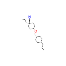 CCC[C@H]1CC[C@H](CO[C@H]2CC[C@@](C#N)(CCC)CC2)CC1